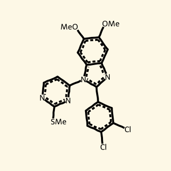 COc1cc2nc(-c3ccc(Cl)c(Cl)c3)n(-c3ccnc(SC)n3)c2cc1OC